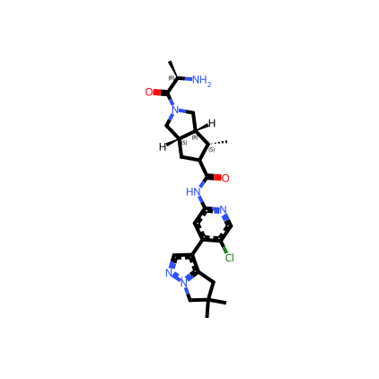 C[C@@H]1C(C(=O)Nc2cc(-c3cnn4c3CC(C)(C)C4)c(Cl)cn2)C[C@@H]2CN(C(=O)[C@@H](C)N)C[C@@H]21